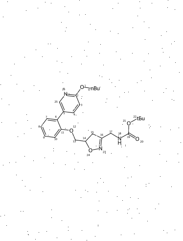 CCCCOc1ccc(-c2ccccc2OCC2CC(CNC(=O)OC(C)(C)C)=NO2)cn1